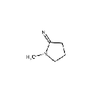 CN1CCCC1=[N]